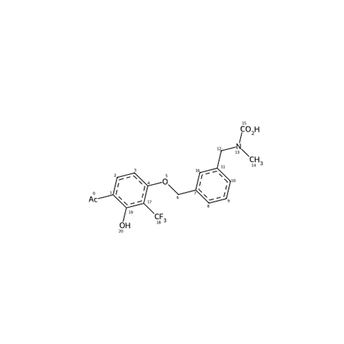 CC(=O)c1ccc(OCc2cccc(CN(C)C(=O)O)c2)c(C(F)(F)F)c1O